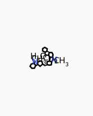 Cn1c2ccccc2c2cc(Cc3ccc4c(c3)c3c5c(ccc3n4C)-c3ccccc3C5(C)C)ccc21